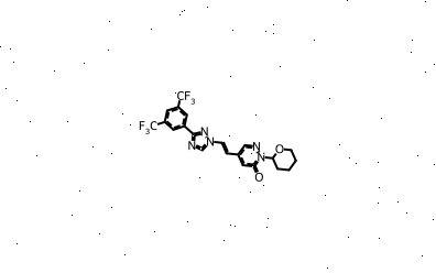 O=c1cc(C=Cn2cnc(-c3cc(C(F)(F)F)cc(C(F)(F)F)c3)n2)cnn1C1CCCCO1